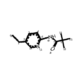 CCc1ccc(NC(=O)C(C)(C)C)nc1